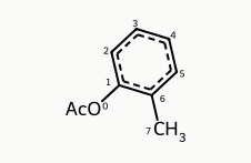 [CH2]C(=O)Oc1ccccc1C